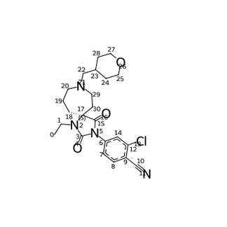 CCN1C(=O)N(c2ccc(C#N)c(Cl)c2)C(=O)[C@@]12CCCN(CC1CCOCC1)CC2